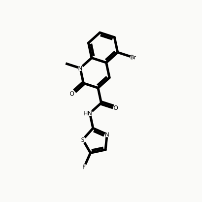 Cn1c(=O)c(C(=O)Nc2ncc(F)s2)cc2c(Br)cccc21